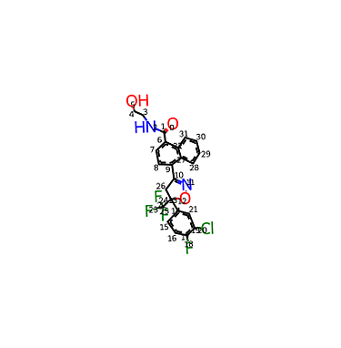 O=C(NCCO)c1ccc(C2=NOC(c3ccc(F)c(Cl)c3)(C(F)(F)F)C2)c2ccccc12